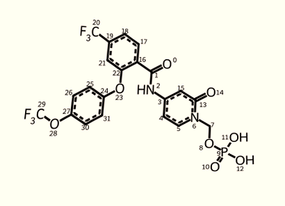 O=C(Nc1ccn(COP(=O)(O)O)c(=O)c1)c1ccc(C(F)(F)F)cc1Oc1ccc(OC(F)(F)F)cc1